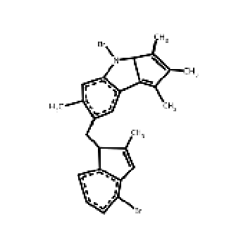 CC1=Cc2c(Br)cccc2C1Cc1cc2c(cc1C)N(Br)C1C(C)=C(C)C(C)=C21